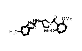 COc1cccc(OC)c1C(=O)N1CCC(Nc2nc3cc(C)ccc3o2)C1